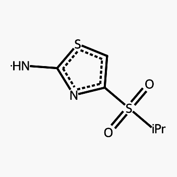 CC(C)S(=O)(=O)c1csc([NH])n1